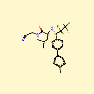 Cc1ccc(-c2ccc([C@H](N[C@@H](CC(C)C)C(=O)NCC#N)C(F)(F)C(F)(F)F)cc2)cc1